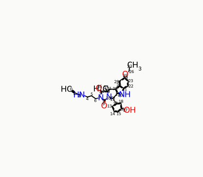 C#CCNCCCN1C(=O)N2[C@H](c3cccc(O)c3)c3[nH]c4ccc(OCC)cc4c3C[C@@]2(C)C1=O